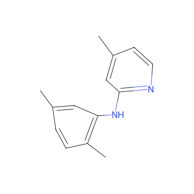 Cc1ccnc(Nc2cc(C)ccc2C)c1